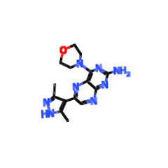 Cc1n[nH]c(C)c1-c1cnc2nc(N)nc(N3CCOCC3)c2n1